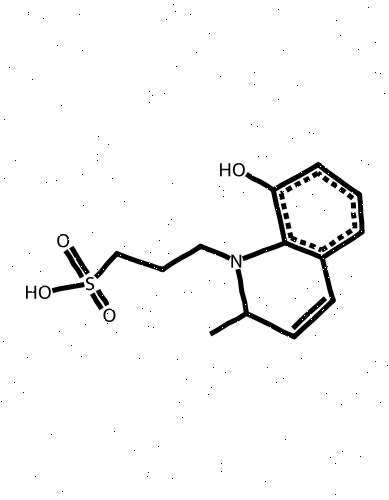 CC1C=Cc2cccc(O)c2N1CCCS(=O)(=O)O